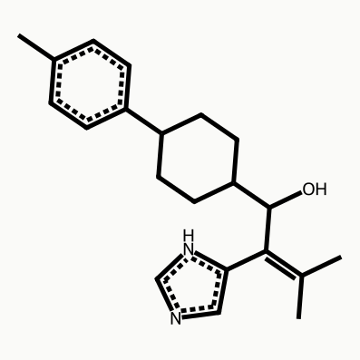 CC(C)=C(c1cnc[nH]1)C(O)C1CCC(c2ccc(C)cc2)CC1